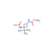 COC(=O)NC1CC(NC(=O)O)(C(C)(C)C)C1